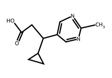 Cc1ncc(C(CC(=O)O)C2CC2)cn1